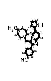 CN1CCCN(Cc2c(-c3ccc(C#N)cc3)nc3ccc(-c4ccc[nH]4)cn23)CC1